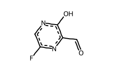 O=Cc1nc(F)cnc1O